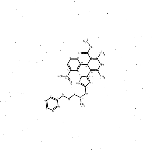 COC(=O)C1=C(C)NC(C)=C(c2nc(CN(C)CCCc3ccccc3)no2)C1c1cccc([N+](=O)[O-])c1